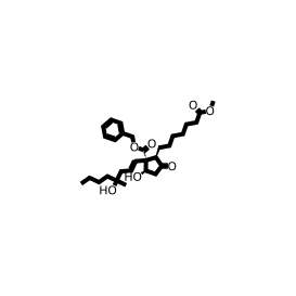 CCCCC(C)(O)C/C=C/[C@]1(C(=O)OCc2ccccc2)[C@H](O)CC(=O)[C@@H]1CCCCCCC(=O)OC